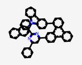 c1ccc(-c2cc(-c3ccc4c5ccccc5c5cccc(-c6ccc7c(c6)c6ccccc6n7-c6ccc7ccccc7c6)c5c4c3)nc(-c3ccccc3)n2)cc1